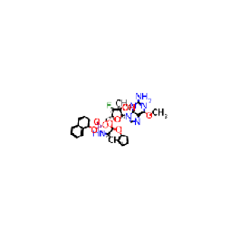 COc1nc(N)nc2c1ncn2[C@@H]1O[C@H](COP(=O)(N[C@@H](C)C(=O)OC2CCCC2)Oc2cccc3ccccc23)[C@@H](F)[C@@]1(C)O